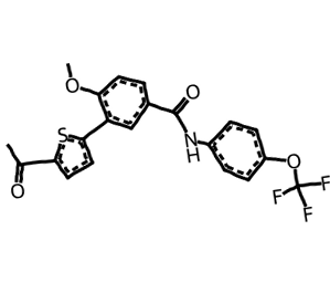 COc1ccc(C(=O)Nc2ccc(OC(F)(F)F)cc2)cc1-c1ccc(C(C)=O)s1